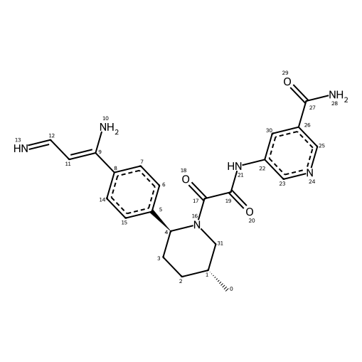 C[C@@H]1CC[C@@H](c2ccc(/C(N)=C/C=N)cc2)N(C(=O)C(=O)Nc2cncc(C(N)=O)c2)C1